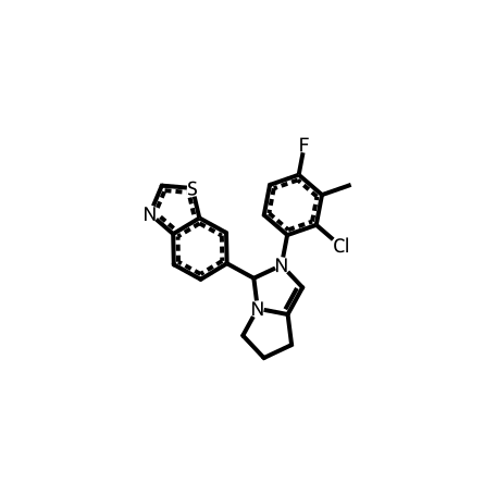 Cc1c(F)ccc(N2C=C3CCCN3C2c2ccc3ncsc3c2)c1Cl